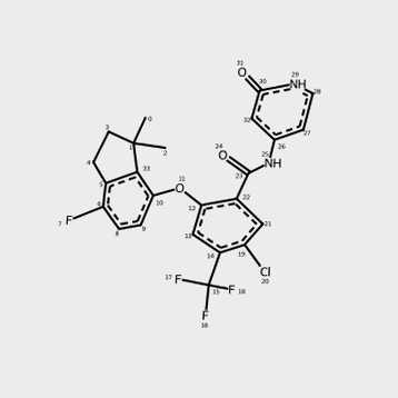 CC1(C)CCc2c(F)ccc(Oc3cc(C(F)(F)F)c(Cl)cc3C(=O)Nc3cc[nH]c(=O)c3)c21